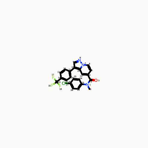 CN(C(=O)c1ccn2ncc(-c3ccc(C(F)(F)F)cc3)c2c1)c1ccc(Cl)cc1